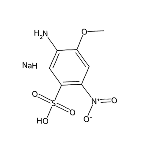 COc1cc([N+](=O)[O-])c(S(=O)(=O)O)cc1N.[NaH]